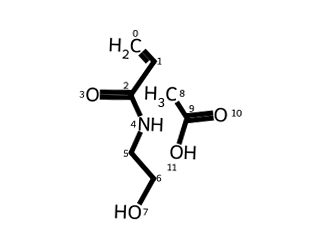 C=CC(=O)NCCO.CC(=O)O